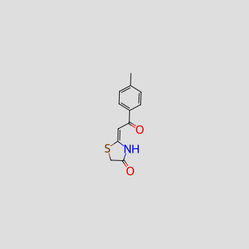 Cc1ccc(C(=O)/C=C2\NC(=O)CS2)cc1